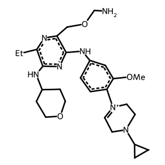 CCc1nc(COCN)c(Nc2ccc([N+]3=CCN(C4CC4)CC3)c(OC)c2)nc1NC1CCOCC1